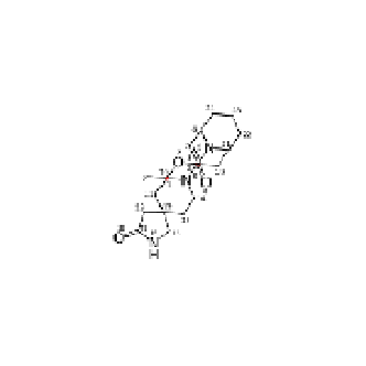 CCOC(=O)N1C2C=C(N3CCC4(CC3)CNC(=O)C4)CC1CCC2